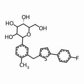 Cc1ccc(C2OC(CO)[C@@H](O)C(O)C2O)cc1Cc1ccc(-c2ccc(F)cc2)s1